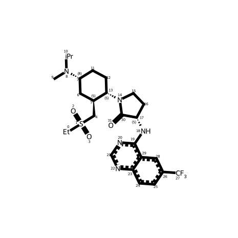 CCS(=O)(=O)C[C@H]1C[C@H](N(C)C(C)C)CC[C@@H]1N1CC[C@H](Nc2ncnc3ccc(C(F)(F)F)cc23)C1=O